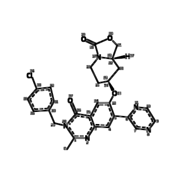 Cc1nc2cc(-c3cnccn3)c(O[C@H]3CCN4C(=O)OC[C@@H]4C3)cc2c(=O)n1Cc1ccc(Cl)cc1